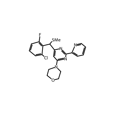 CSC(c1cc(N2CCOCC2)nc(-c2ccccn2)n1)c1c(F)cccc1Cl